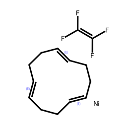 C1=C/CC/C=C/CC/C=C/CC/1.FC(F)=C(F)F.[Ni]